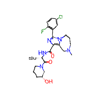 CN1CCCn2c(-c3cc(Cl)ccc3F)nc(C(=O)N[C@H](C(=O)N3CCC[C@@H](O)C3)C(C)(C)C)c2C1